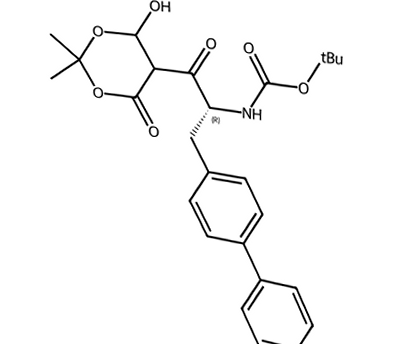 CC(C)(C)OC(=O)N[C@H](Cc1ccc(-c2ccccc2)cc1)C(=O)C1C(=O)OC(C)(C)OC1O